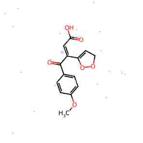 COc1ccc(C(=O)/C(=C/C(=O)O)C2=CCOO2)cc1